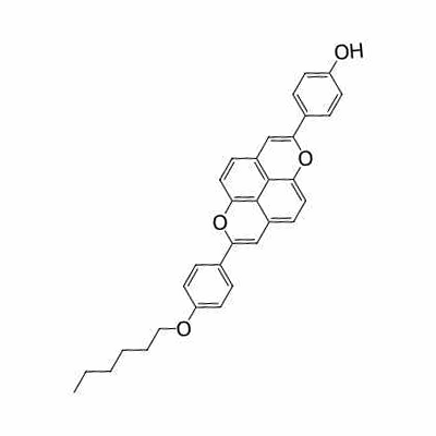 CCCCCCOc1ccc(C2=Cc3ccc4c5c(ccc(c35)O2)C=C(c2ccc(O)cc2)O4)cc1